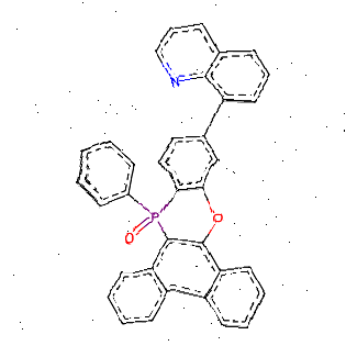 O=P1(c2ccccc2)c2ccc(-c3cccc4cccnc34)cc2Oc2c1c1ccccc1c1ccccc21